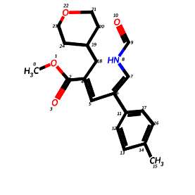 COC(=O)/C(=C/C(=C\NC=O)c1ccc(C)cc1)CC1CCOCC1